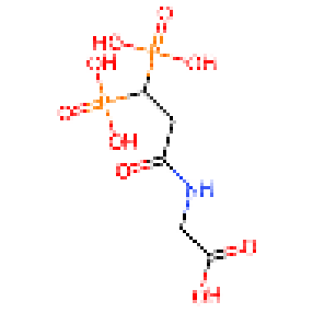 O=C(O)CNC(=O)CC(P(=O)(O)O)P(=O)(O)O